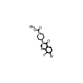 CC(C)(C)OC(=O)N1CCC(n2cnc3c(F)c(Br)ccc3c2=O)CC1